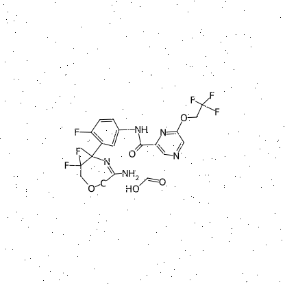 CC1(c2cc(NC(=O)c3cncc(OCC(F)(F)F)n3)ccc2F)N=C(N)COCC1(F)F.O=CO